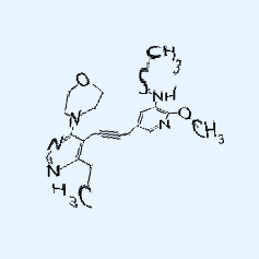 CCc1ncnc(N2CCOCC2)c1C#Cc1cnc(OC)c(NSC)c1